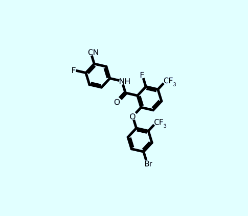 N#Cc1cc(NC(=O)c2c(Oc3ccc(Br)cc3C(F)(F)F)ccc(C(F)(F)F)c2F)ccc1F